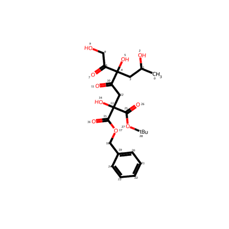 CC(O)CC(O)(C(=O)CO)C(=O)CC(O)(C(=O)OCc1ccccc1)C(=O)OC(C)(C)C